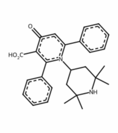 CC1(C)CC(n2c(-c3ccccc3)cc(=O)c(C(=O)O)c2-c2ccccc2)CC(C)(C)N1